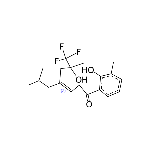 Cc1cccc(C(=O)C/C=C(/CC(C)C)CC(C)(O)C(F)(F)F)c1O